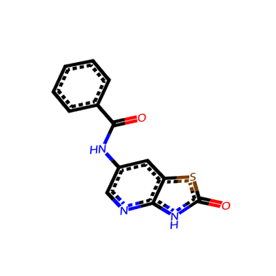 O=C(Nc1cnc2[nH]c(=O)sc2c1)c1ccccc1